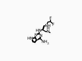 CNC/C(=C\NCC(F)F)Nc1nc(N)c2cc[nH]c2n1